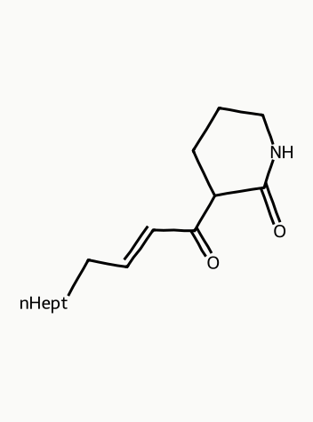 CCCCCCCCC=CC(=O)C1CCCNC1=O